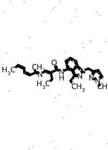 C\C=C/C=C\C(C)=N\C=C(/CC)C(=O)Nc1cccc2c1c(CC)nn2Cc1ccn(C)n1